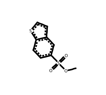 COS(=O)(=O)c1ccc2sccc2c1